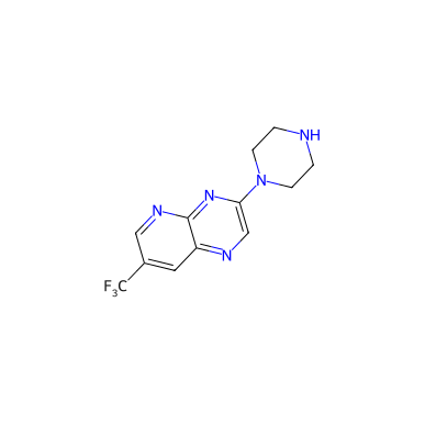 FC(F)(F)c1cnc2nc(N3CCNCC3)cnc2c1